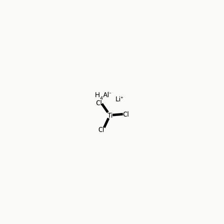 [AlH4-].[Cl][Ti]([Cl])[Cl].[Li+]